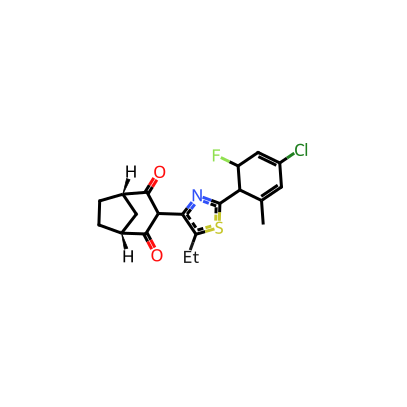 CCc1sc(C2C(C)=CC(Cl)=CC2F)nc1C1C(=O)[C@@H]2CC[C@@H](C2)C1=O